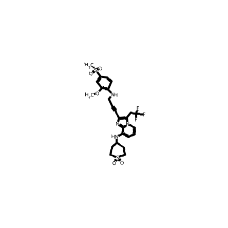 COc1cc(S(C)(=O)=O)ccc1NCC#Cc1nc2c(NC3CCS(=O)(=O)CC3)cccn2c1CC(F)(F)F